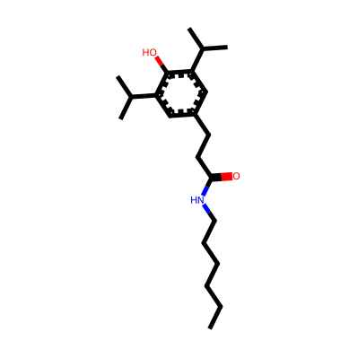 CCCCCCNC(=O)CCc1cc(C(C)C)c(O)c(C(C)C)c1